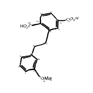 COc1cccc(CCc2cc(C(=O)O)ccc2C(=O)O)c1